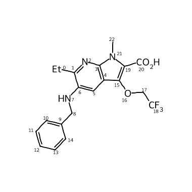 CCc1nc2c(cc1NCc1ccccc1)c(OCC(F)(F)F)c(C(=O)O)n2C